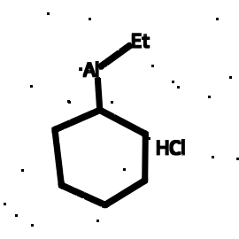 C[CH2][Al][CH]1CCCCC1.Cl